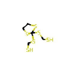 SCSC1(SCS)SCCS1